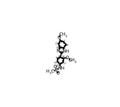 COc1ccc2[nH]c(-c3ccc(NS(C)(=O)=O)cc3OC)nc2c1